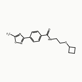 O=C(NCCOC1CCC1)c1ccc(-c2noc(C(F)(F)F)n2)cc1